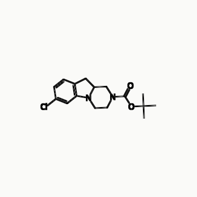 CC(C)(C)OC(=O)N1CCN2c3cc(Cl)ccc3CC2C1